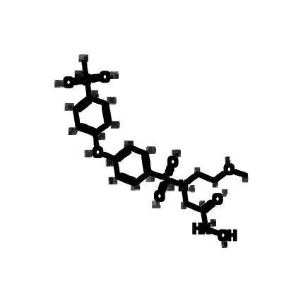 COCCN(CC(=O)NO)S(=O)(=O)c1ccc(Oc2ccc(S(C)(=O)=O)cc2)cc1